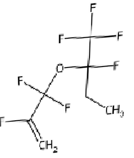 C=C(F)C(F)(F)OC(F)(CC)C(F)(F)F